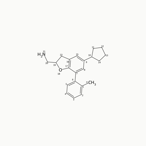 Cc1ccccc1-c1cc(C2CCCC2)cc2c1OC(CN)C2